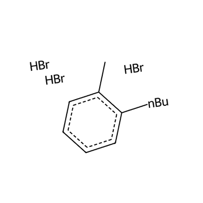 Br.Br.Br.CCCCc1ccccc1C